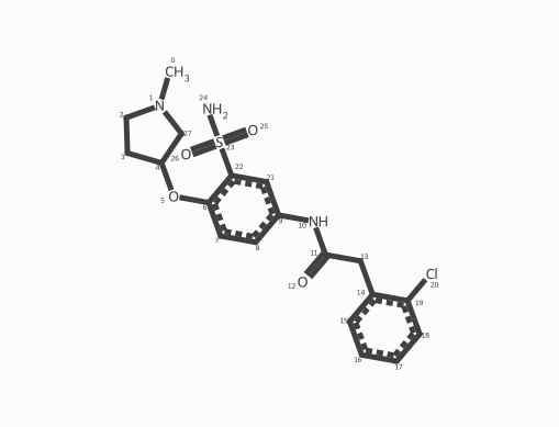 CN1CCC(Oc2ccc(NC(=O)Cc3ccccc3Cl)cc2S(N)(=O)=O)C1